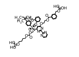 CCC(C)(C)c1ccc(S(=O)(=O)N(COC(=O)OCCCCON(O)O)c2nc(-c3ncccn3)nc(OCCOC(=O)c3cccc(CON(O)O)c3)c2Oc2ccccc2OC)cc1